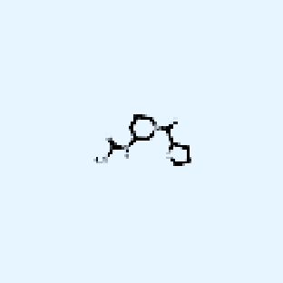 NC(=O)NC1CCCN(C(=O)C2CCCO2)C1